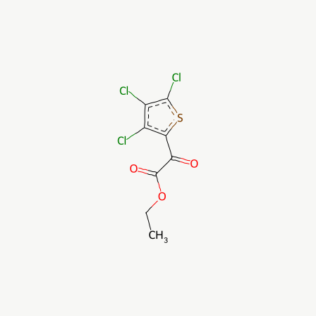 CCOC(=O)C(=O)c1sc(Cl)c(Cl)c1Cl